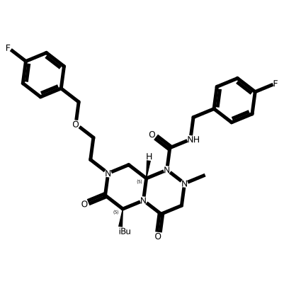 CCC(C)[C@H]1C(=O)N(CCOCc2ccc(F)cc2)C[C@H]2N1C(=O)CN(C)N2C(=O)NCc1ccc(F)cc1